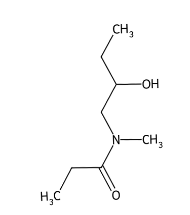 CCC(=O)N(C)CC(O)CC